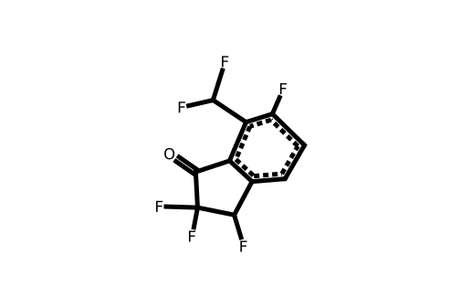 O=C1c2c(ccc(F)c2C(F)F)C(F)C1(F)F